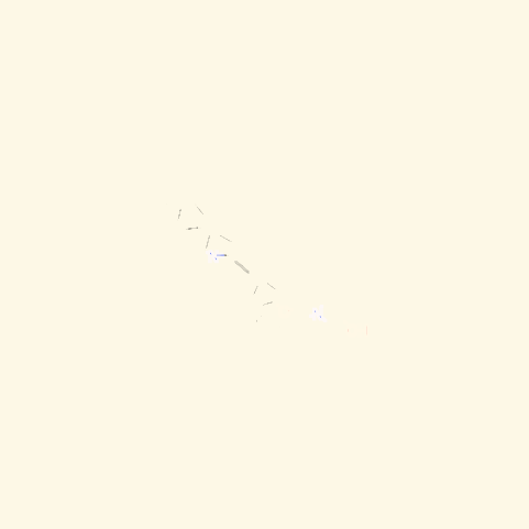 Cc1cc(C#Cc2ccc(-c3ccc(Cl)cc3)cn2)ccc1OCCN(CCO)C1CCCC1